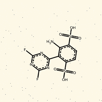 Nc1c(S(=O)(=O)O)ccc(S(=O)(=O)O)c1-c1nc(F)nc(F)n1